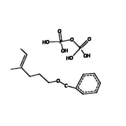 CC=C(C)CCCOCc1ccccc1.O=P(O)(O)OP(=O)(O)O